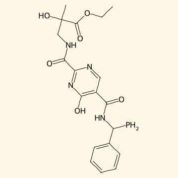 CCOC(=O)C(C)(O)CNC(=O)c1ncc(C(=O)NC(P)c2ccccc2)c(O)n1